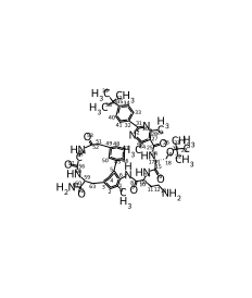 Cc1cc2cc(c1NC(=O)[C@H](CCN)NC(=O)[C@@H](COC(C)(C)C)NC(=O)c1c(C)nc(-c3ccc(C(C)(C)C)cc3)nc1C)-c1cccc(c1)CC(=O)NCC(=O)NC(C(N)=O)C2